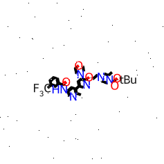 Cc1ncc(NC(=O)c2cccc(C(F)(F)F)c2)cc1-c1cnc(OCCN2CCN(C(=O)OC(C)(C)C)C(C)C2)c(N2CCOCC2)c1